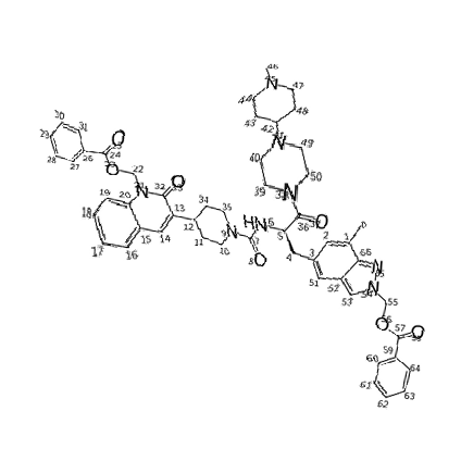 Cc1cc(C[C@@H](NC(=O)N2CCC(c3cc4ccccc4n(COC(=O)c4ccccc4)c3=O)CC2)C(=O)N2CCN(C3CCN(C)CC3)CC2)cc2cn(COC(=O)c3ccccc3)nc12